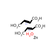 O.O=C(O)/C=C/C(=O)O.O=C(O)/C=C/C(=O)O.[Zn]